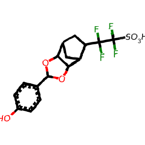 O=S(=O)(O)C(F)(F)C(F)(F)C1CC2CC1C1OC(c3ccc(O)cc3)OC21